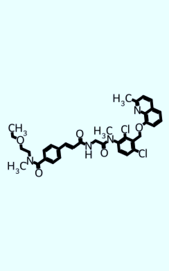 CCOCCN(C)C(=O)c1ccc(/C=C/C(=O)NCC(=O)N(C)c2ccc(Cl)c(COc3cccc4ccc(C)nc34)c2Cl)cc1